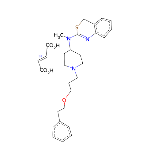 CN(C1=Nc2ccccc2CS1)C1CCN(CCCOCCc2ccccc2)CC1.O=C(O)/C=C/C(=O)O